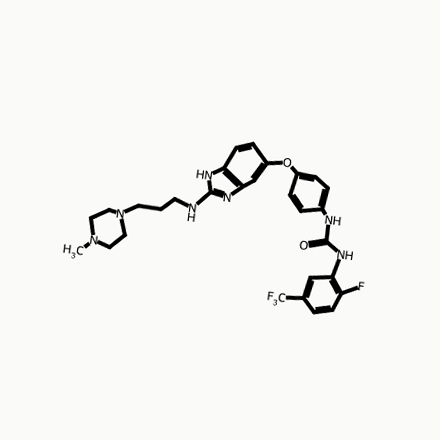 CN1CCN(CCCNc2nc3cc(Oc4ccc(NC(=O)Nc5cc(C(F)(F)F)ccc5F)cc4)ccc3[nH]2)CC1